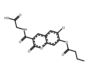 CCCC(=O)Oc1cc2oc(=O)c(C(=O)NCC(=O)O)cc2cc1Cl